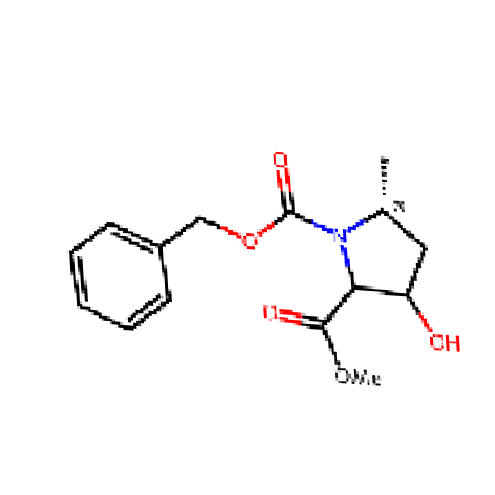 COC(=O)C1C(O)C[C@@H](C)N1C(=O)OCc1ccccc1